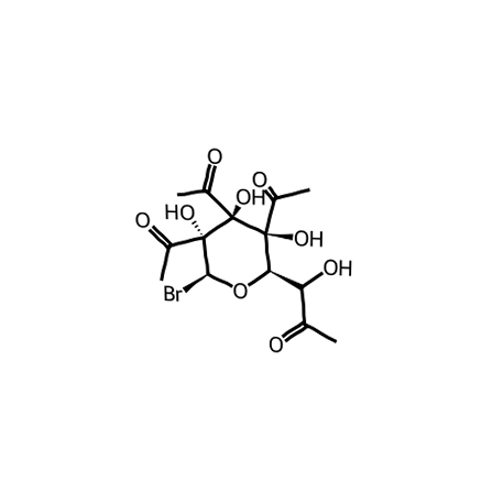 CC(=O)C(O)[C@H]1O[C@@H](Br)[C@@](O)(C(C)=O)[C@](O)(C(C)=O)[C@]1(O)C(C)=O